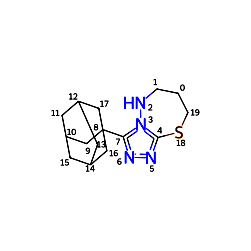 C1CNn2c(nnc2C23CC4CC(CC(C4)C2)C3)SC1